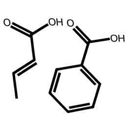 CC=CC(=O)O.O=C(O)c1ccccc1